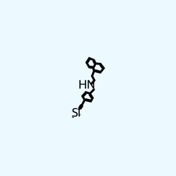 C[Si](C)(C)C#Cc1ccc(CNCCc2cccc3ccccc23)cc1